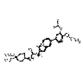 COc1ncc(-c2ccn3nc(NC(=O)NC4CCC(C)(O)CC4)cc3c2)cc1OC(F)F